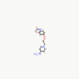 NC1CCN(CCOc2ccc3c(c2)OCC(=O)N3)CC1